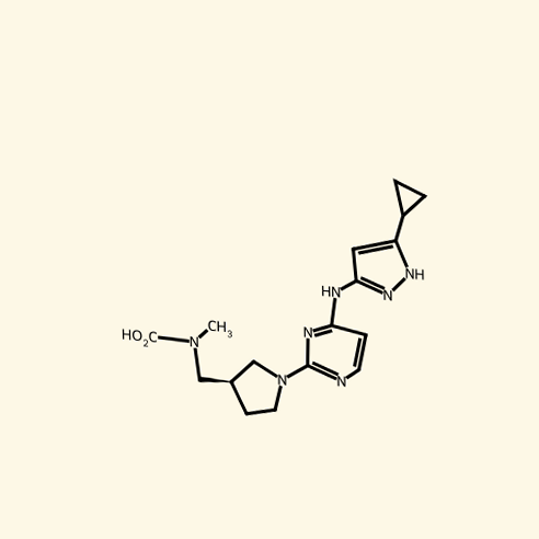 CN(C[C@@H]1CCN(c2nccc(Nc3cc(C4CC4)[nH]n3)n2)C1)C(=O)O